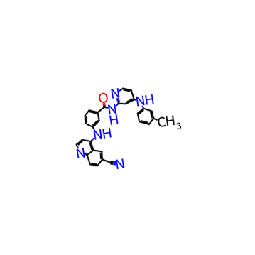 Cc1cccc(Nc2ccnc(NC(=O)c3cccc(Nc4ccnc5ccc(C#N)cc45)c3)c2)c1